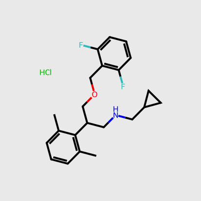 Cc1cccc(C)c1C(CNCC1CC1)COCc1c(F)cccc1F.Cl